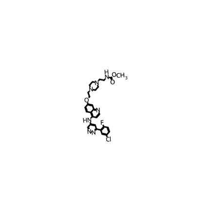 COC(=O)NCCN1CCN(CCOc2ccc3c(Nc4cnnc(-c5cc(Cl)ccc5F)c4)ccnc3c2)CC1